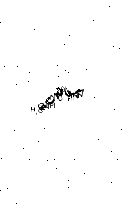 C[S+]([O-])NC1CCN(Cc2coc3cc(Oc4ccc(-c5ccn[nH]5)cn4)ccc23)CC1